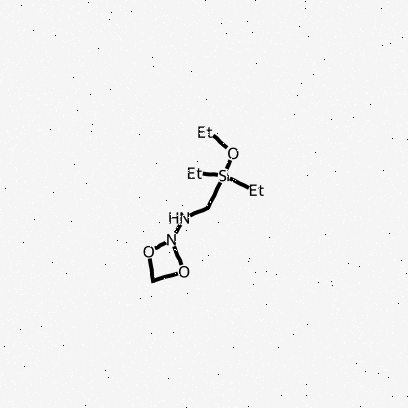 CCO[Si](CC)(CC)CNN1OCO1